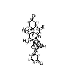 C[C@]12C[C@H](O)[C@@]3(F)[C@@H](C[C@H](F)C4=CC(=O)C=C[C@@]43C)[C@]1(C)C[C@H]1CN(c3cccc(Cl)c3)O[C@]12C(=O)O